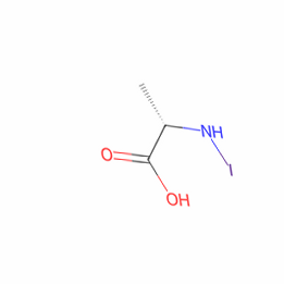 C[C@H](NI)C(=O)O